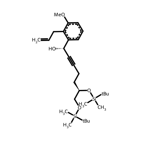 C=CCc1c(OC)cccc1[C@@H](O)C#CCC[C@H](CO[Si](C)(C)C(C)(C)C)O[Si](C)(C)C(C)(C)C